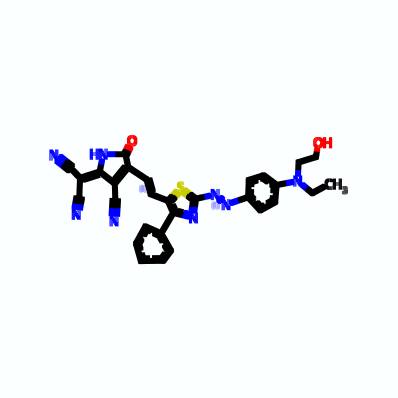 CCN(CCO)c1ccc(/N=N/c2nc(-c3ccccc3)c(/C=C/C3=C(C#N)C(=C(C#N)C#N)NC3=O)s2)cc1